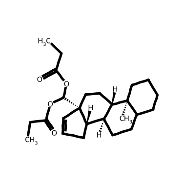 CCC(=O)OC(OC(=O)CC)[C@@]12C=CC[C@H]1[C@@H]1CCC3CCCC[C@]3(C)[C@H]1CC2